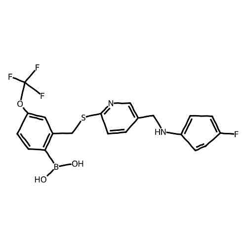 OB(O)c1ccc(OC(F)(F)F)cc1CSc1ccc(CNc2ccc(F)cc2)cn1